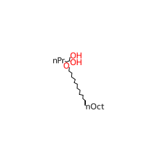 CCCCCCCCC=CCCCCCCCCCCCCOC(CCC)C(O)CO